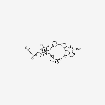 CCn1c(-c2cccnc2[C@H](C)OC)c2c3cc(ccc31)C1=CCCN(C1)C[C@H](NC(=O)[C@H](C(C)C)N(C)C(=O)C1(F)CCN(C(=O)C#CC(C)(C)N(C)C)CC1)C(=O)N1CCC[C@H](N1)C(=O)OCC(C)(C)C2